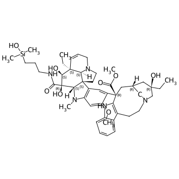 CC[C@@]1(O)C[C@@H]2CN(CCc3c([nH]c4ccccc34)[C@](C(=O)OC)(c3cc4c(cc3OC)N(C)[C@@H]3[C@](O)(C(=O)NCCC[Si](C)(C)O)[C@@H](O)[C@@]5(CC)C=CCN6CC[C@@]43[C@H]65)C2)C1